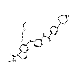 CCOCCOc1cc2c(ccn2C(=O)NC)cc1Oc1ccnc(NC(=O)c2ccc(C3CCNCC3)cc2)c1